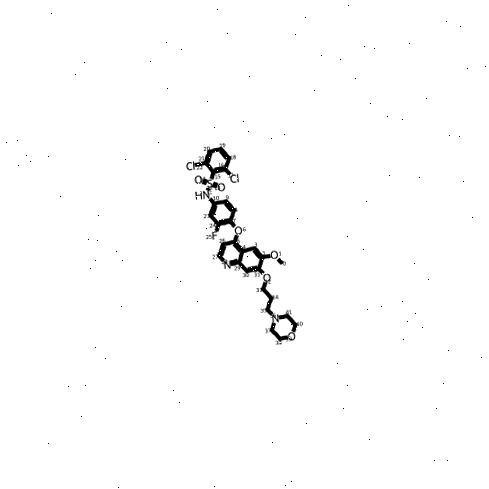 COc1cc2c(Oc3ccc(NS(=O)(=O)c4c(Cl)cccc4Cl)cc3F)ccnc2cc1OCCCN1CCOCC1